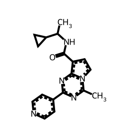 Cc1nc(-c2ccncc2)nc2c(C(=O)NC(C)C3CC3)ccn12